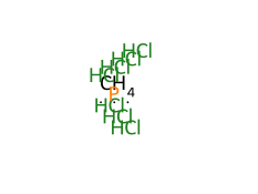 C.Cl.Cl.Cl.Cl.Cl.Cl.Cl.[P]